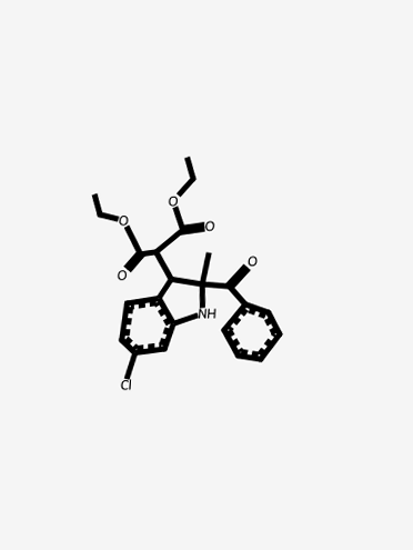 CCOC(=O)C(C(=O)OCC)C1c2ccc(Cl)cc2NC1(C)C(=O)c1ccccc1